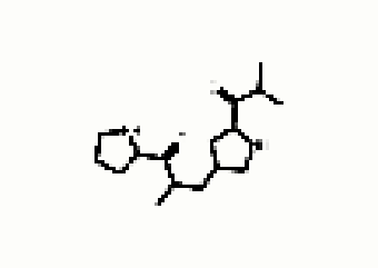 CC(C)C(=O)C1CC(CC(C)C(=O)C2CCCN2)CN1